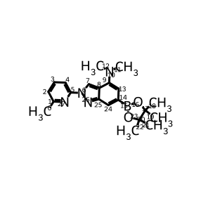 Cc1cccc(-n2cc3c(N(C)C)cc(B4OC(C)(C)C(C)(C)O4)cc3n2)n1